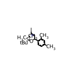 Cc1ccc(C(/C=C/I)O[Si](C)(C)C(C)(C)C)c(C)c1